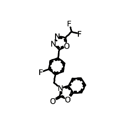 O=c1oc2ccccc2n1Cc1ccc(-c2nnc(C(F)F)o2)cc1F